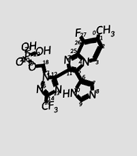 Cc1ccn2c(-c3cnc[nH]3)c(-c3nc(C(F)(F)F)nn3COP(=O)(O)O)nc2c1F